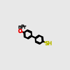 CCCOc1ccc(-c2ccc(S)cc2)cc1